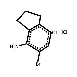 Cl.Cl.Nc1c(Br)ccc2c1CCC2